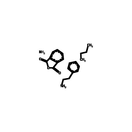 CCCC.N.NCCc1ccccc1.O=C1OC(=O)c2ccccc21